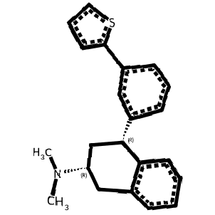 CN(C)[C@H]1Cc2ccccc2[C@@H](c2cccc(-c3cccs3)c2)C1